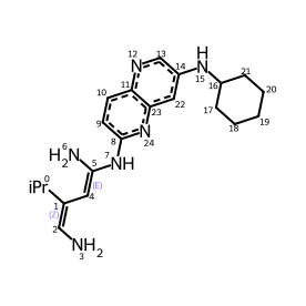 CC(C)C(=C/N)/C=C(\N)Nc1ccc2ncc(NC3CCCCC3)cc2n1